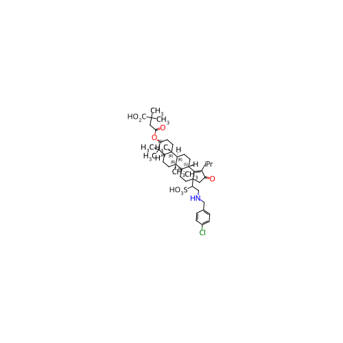 CC(C)C1=C2[C@H]3CC[C@@H]4[C@@]5(C)CC[C@H](OC(=O)CC(C)(C)C(=O)O)C(C)(C)[C@@H]5CC[C@@]4(C)[C@]3(C)CCC2(C(CNCc2ccc(Cl)cc2)S(=O)(=O)O)CC1=O